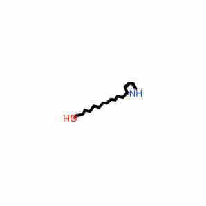 OCCCCCCCCCCCCC1C=CC=CN1